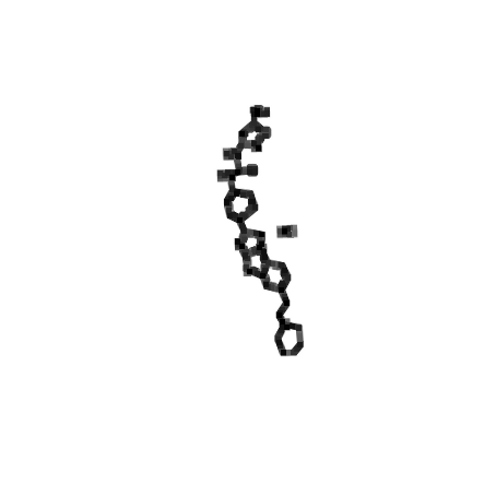 CC(C)(C)c1cc(NC(=O)Nc2ccc(-c3cn4c(n3)sc3cc(CCN5CCCCC5)ccc34)cc2)no1.Cl